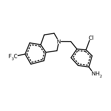 Nc1ccc(CN2CCc3cc(C(F)(F)F)ccc3C2)c(Cl)c1